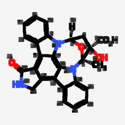 C[C@]12O[C@H](C[C@]1(O)C(=O)O)n1c3ccccc3c3c4c(c5c6ccccc6n2c5c31)CNC4=O